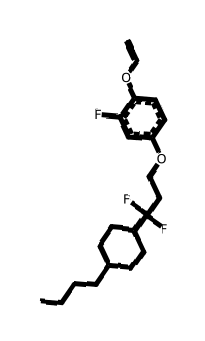 C=COc1ccc(OCCC(F)(F)C2CCC(CCCC)CC2)cc1F